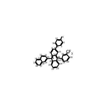 Cc1ccc(-c2ccc3c(-c4ccc5ccccc5c4)c4ccccc4c(-c4cccc(C(F)(F)F)c4)c3c2)cc1